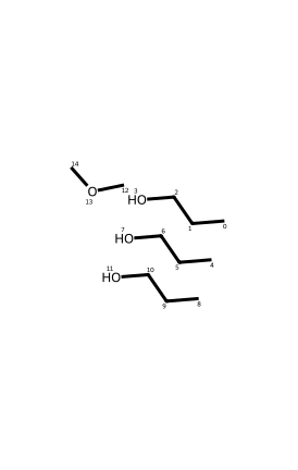 CCCO.CCCO.CCCO.COC